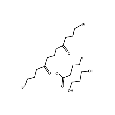 O=C(CCCBr)CCCC(=O)CCCBr.O=C(Cl)CCCBr.OCCCO